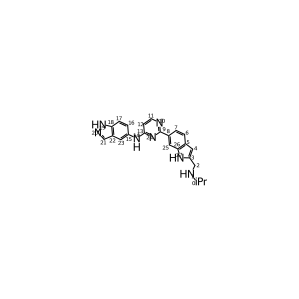 CC(C)NCc1cc2ccc(-c3nccc(Nc4ccc5[nH]ncc5c4)n3)cc2[nH]1